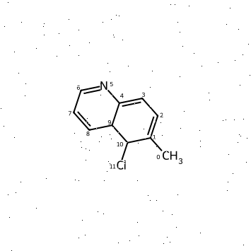 CC1=CC=C2N=CC=CC2C1Cl